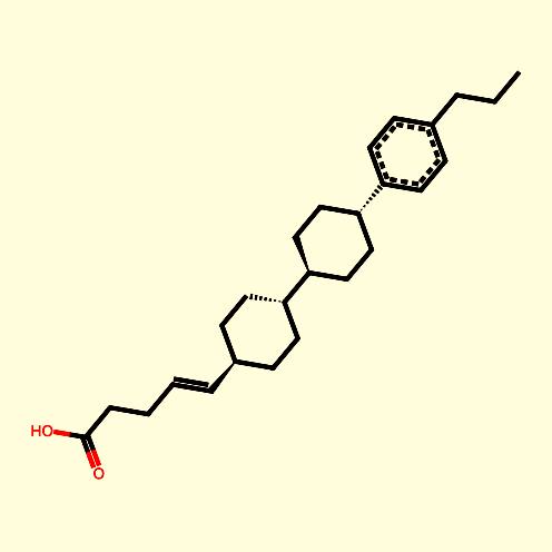 CCCc1ccc([C@H]2CC[C@H]([C@H]3CC[C@H](C=CCCC(=O)O)CC3)CC2)cc1